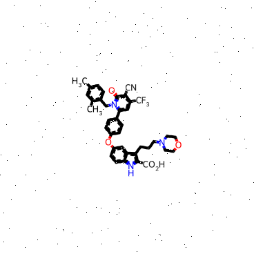 Cc1ccc(Cn2c(-c3ccc(Oc4ccc5[nH]c(C(=O)O)c(CCCN6CCOCC6)c5c4)cc3)cc(C(F)(F)F)c(C#N)c2=O)c(C)c1